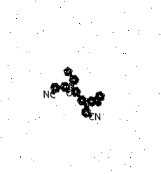 CC1(C)c2ccccc2-c2cc3c4cc(-c5ccc6c(c5)Oc5cc(-c7cccc(C#N)c7)ccc5N6c5cccc(C6CCCC6)c5)ccc4n(-c4cccc(C#N)c4)c3cc21